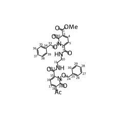 COC(=O)c1ccc(C(=O)NCCNC(=O)c2ccc(C(C)=O)c(=O)n2OCc2ccccc2)n(OCc2ccccc2)c1=O